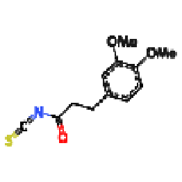 COc1ccc(CCC(=O)N=C=S)cc1OC